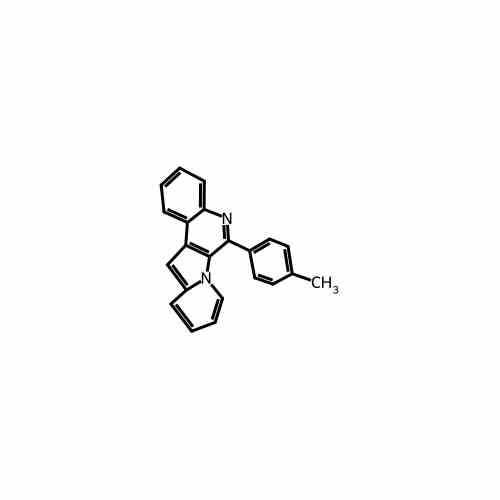 Cc1ccc(-c2nc3ccccc3c3cc4ccccn4c23)cc1